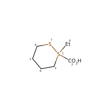 CCS1(C(=O)O)CCCCS1